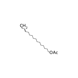 C=C/C=C/CCCCCCCCCCCCOC(C)=O